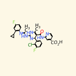 CC1=C(C(=O)Nc2cc(C(=O)O)ccn2)C(c2cccc(F)c2Cl)N=C(N/C(C)=N/c2ccc(F)cc2C2CC2)N1